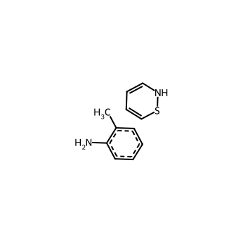 C1=CNSC=C1.Cc1ccccc1N